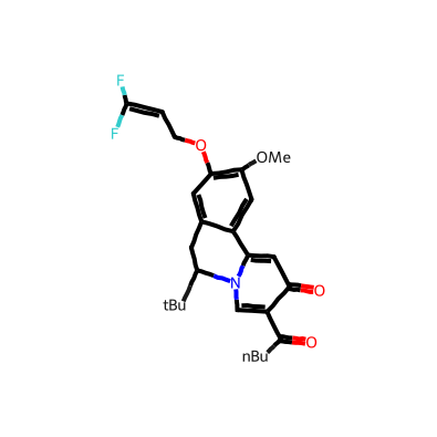 CCCCC(=O)c1cn2c(cc1=O)-c1cc(OC)c(OCC=C(F)F)cc1CC2C(C)(C)C